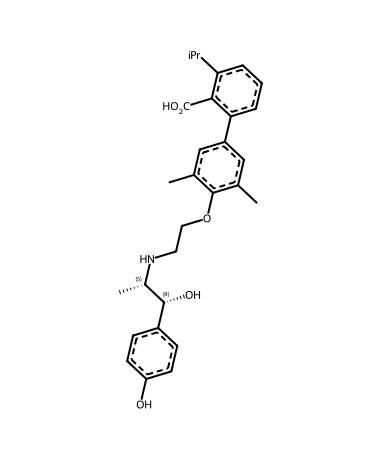 Cc1cc(-c2cccc(C(C)C)c2C(=O)O)cc(C)c1OCCN[C@@H](C)[C@H](O)c1ccc(O)cc1